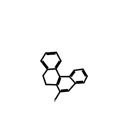 Ic1cc2ccccc2c2c1CCc1ccccc1-2